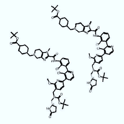 COc1nc(-c2ccnc(-c3cccc(NC(=O)c4nc5c(n4C)CCN(CC4CCC(C(=O)OC(C)(C)C)CC4)C5)c3Cl)c2Cl)ccc1CN(C[C@@H]1CCC(=O)N1)C(=O)OC(C)(C)C.COc1nc(-c2ccnc(-c3cccc(NC(=O)c4nc5c(n4C)CCN(CC4CCC(C(=O)OC(C)(C)C)CC4)C5)c3Cl)c2Cl)ccc1CN(C[C@@H]1CCC(=O)N1)C(=O)OC(C)(C)C